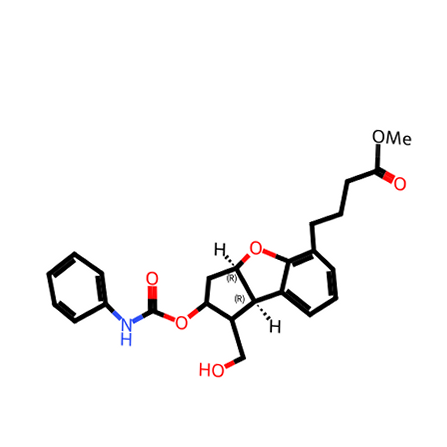 COC(=O)CCCc1cccc2c1O[C@@H]1CC(OC(=O)Nc3ccccc3)C(CO)[C@H]21